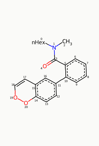 CCCCCCN(C)C(=O)c1ccccc1-c1ccc2c(c1)C=COO2